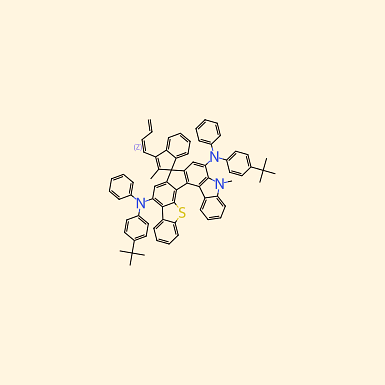 C=C/C=C\C1=C(C)C2(c3ccccc31)c1cc(N(c3ccccc3)c3ccc(C(C)(C)C)cc3)c3c(sc4ccccc43)c1-c1c2cc(N(c2ccccc2)c2ccc(C(C)(C)C)cc2)c2c1c1ccccc1n2C